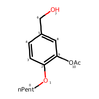 CCCCCOc1ccc(CO)cc1OC(C)=O